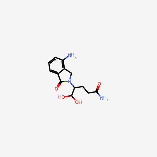 NC(=O)CCC(C(O)O)N1Cc2c(N)cccc2C1=O